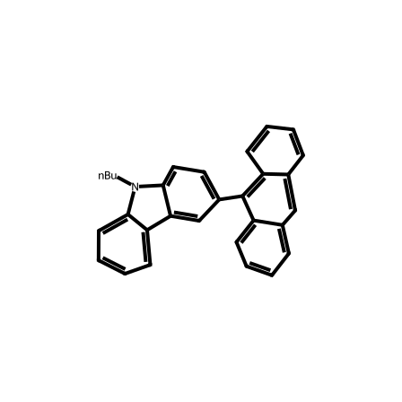 CCCCn1c2ccccc2c2cc(-c3c4ccccc4cc4ccccc34)ccc21